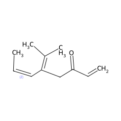 C=CC(=O)CC(/C=C\C)=C(C)C